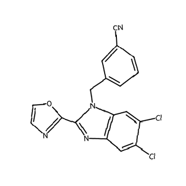 N#Cc1cccc(Cn2c(-c3ncco3)nc3cc(Cl)c(Cl)cc32)c1